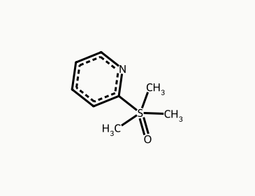 CS(C)(C)(=O)c1ccccn1